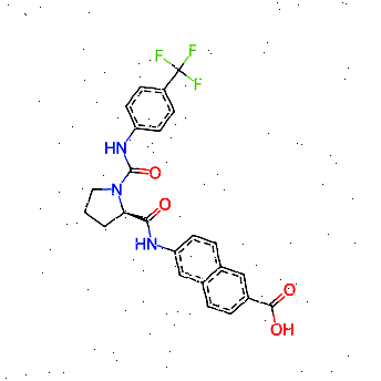 O=C(O)c1ccc2cc(NC(=O)[C@H]3CCCN3C(=O)Nc3ccc(C(F)(F)F)cc3)ccc2c1